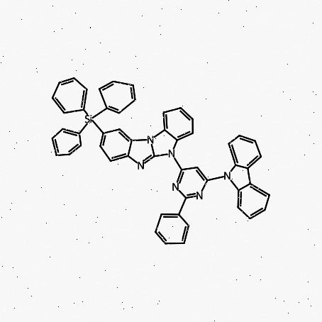 c1ccc(-c2nc(-n3c4ccccc4c4ccccc43)cc(-n3c4ccccc4n4c5cc([Si](c6ccccc6)(c6ccccc6)c6ccccc6)ccc5nc34)n2)cc1